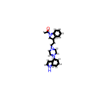 CC(=O)N1CC(CCN2CCN(c3cccc4[nH]ccc34)CC2)c2ccccc21